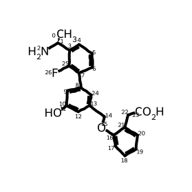 C[C@@H](N)c1cccc(-c2cc(O)cc(COc3ccccc3CC(=O)O)c2)c1F